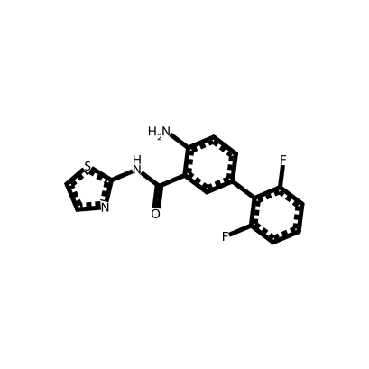 Nc1ccc(-c2c(F)cccc2F)cc1C(=O)Nc1nccs1